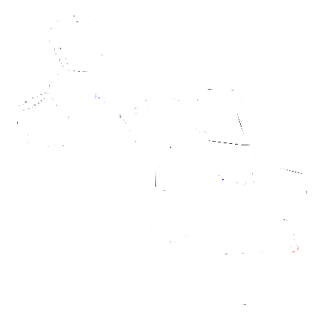 c1cc(-c2ccccc2-n2c3ccccc3c3ccc4oc5ccccc5c4c32)cc(-n2c3ccccc3c3ccccc32)c1